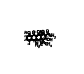 CN(C)[C@@H]1C(O)=C(C(N)=O)C(=O)[C@@]2(O)C(O)=C3C(=O)c4c(O)ccc(I)c4C[C@@]3(C)C[C@@H]12